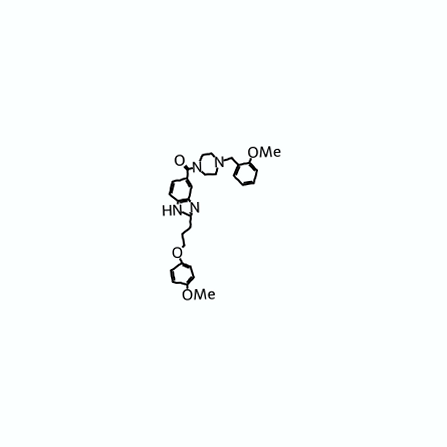 COc1ccc(OCCCc2nc3cc(C(=O)N4CCN(Cc5ccccc5OC)CC4)ccc3[nH]2)cc1